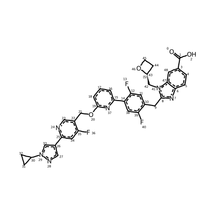 O=C(O)c1ccc2nc(Cc3cc(F)c(-c4cccc(OCc5cnc(-c6cnn(C7CC7)c6)cc5F)n4)cc3F)n(C[C@@H]3CCO3)c2c1